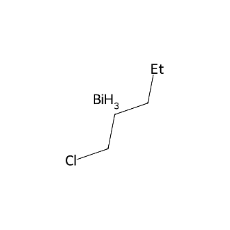 CCCCCCl.[BiH3]